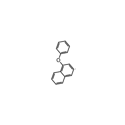 [c]1cc(Oc2ccccc2)c2ccccc2c1